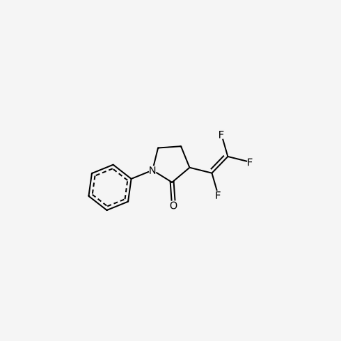 O=C1C(C(F)=C(F)F)CCN1c1ccccc1